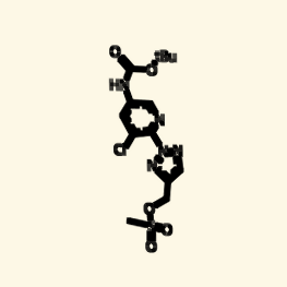 CC(C)(C)OC(=O)Nc1cnc(-n2ncc(COS(C)(=O)=O)n2)c(Cl)c1